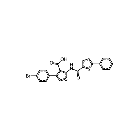 O=C(Nc1scc(-c2ccc(Br)cc2)c1C(=O)O)c1ccc(-c2ccccc2)s1